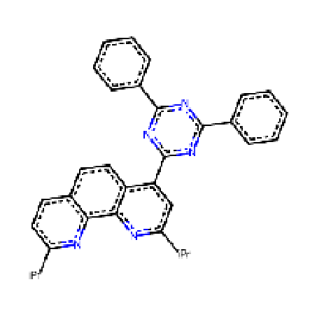 CC(C)c1ccc2ccc3c(-c4nc(-c5ccccc5)nc(-c5ccccc5)n4)cc(C(C)C)nc3c2n1